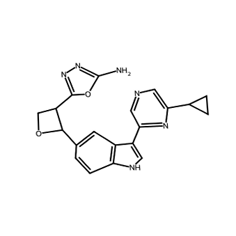 Nc1nnc(C2COC2c2ccc3[nH]cc(-c4cncc(C5CC5)n4)c3c2)o1